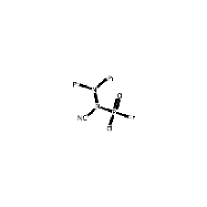 CCP(=O)(Cl)N(C#N)N(C(C)C)C(C)C